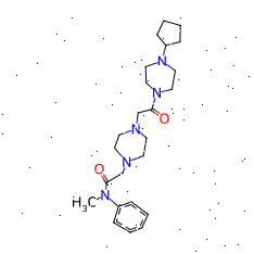 CN(C(=O)CN1CCN(CC(=O)N2CCN(C3CCCC3)CC2)CC1)c1ccccc1